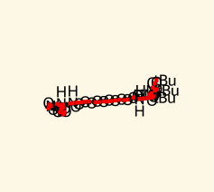 CC(C)(C)OC(=O)CC[C@H](NC(=O)N[C@@H](CCCCNC(=O)COCCOCCOCCOCCOCCOCCOCCOCCOCCOCC(=O)NCCCC[C@H](NC(=O)CCCN1C(=O)C=CC1=O)C(=O)ON1C(=O)CCC1=O)C(=O)OC(C)(C)C)C(=O)OC(C)(C)C